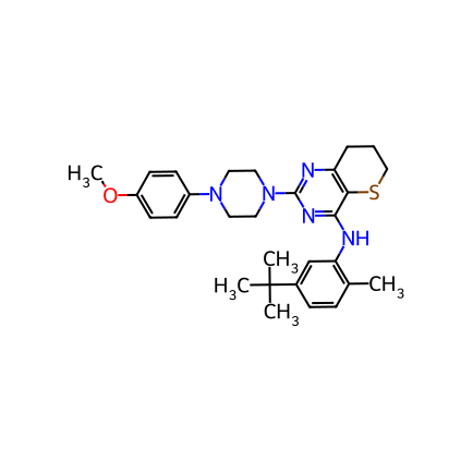 COc1ccc(N2CCN(c3nc4c(c(Nc5cc(C(C)(C)C)ccc5C)n3)SCCC4)CC2)cc1